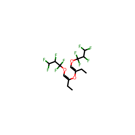 CCC(=COC(F)(F)C(F)C(F)F)OC(=COC(F)(F)C(F)C(F)F)CC